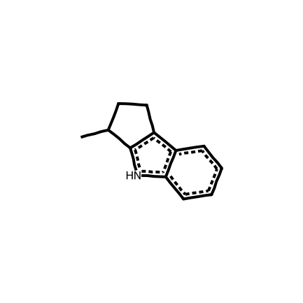 CC1CCc2c1[nH]c1ccccc21